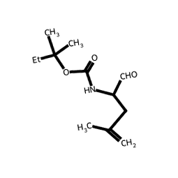 C=C(C)CC(C=O)NC(=O)OC(C)(C)CC